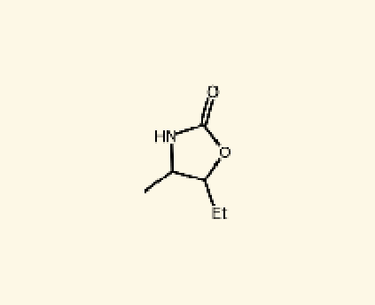 CCC1OC(=O)NC1C